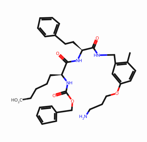 Cc1ccc(OCCCN)cc1CNC(=O)[C@H](CCc1ccccc1)NC(=O)[C@H](CCCCC(=O)O)NC(=O)OCc1ccccc1